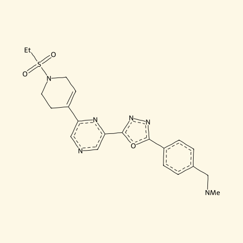 CCS(=O)(=O)N1CC=C(c2cncc(-c3nnc(-c4ccc(CNC)cc4)o3)n2)CC1